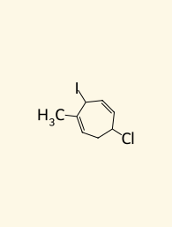 CC1=CCC(Cl)C=CC1I